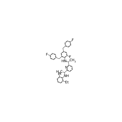 CCc1cccc(CC)c1NC(C)c1cccc(C(C)Nc2c(F)cc(Cc3ccc(F)cc3)cc2Cc2ccc(F)cc2)n1